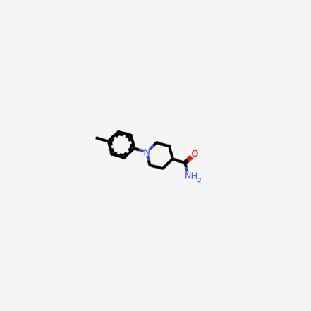 Cc1ccc(N2CCC(C(N)=O)CC2)cc1